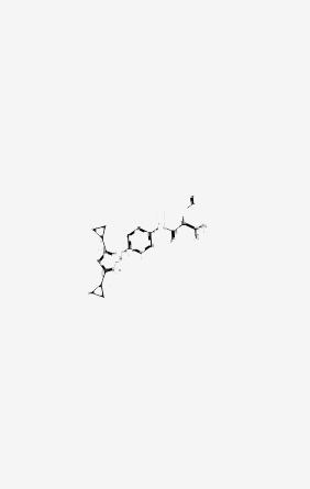 C=CSC(C(=O)Nc1ccc(-n2nc(C3CC3)cc2C2CC2)cc1)=C(C)C